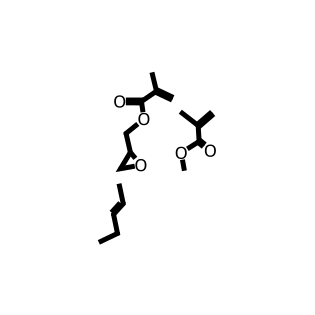 C=C(C)C(=O)OC.C=C(C)C(=O)OCC1CO1.CC=CCC